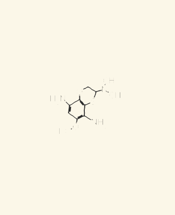 COc1cc(N)c2c(c1N)SC(N(C)C)CO2